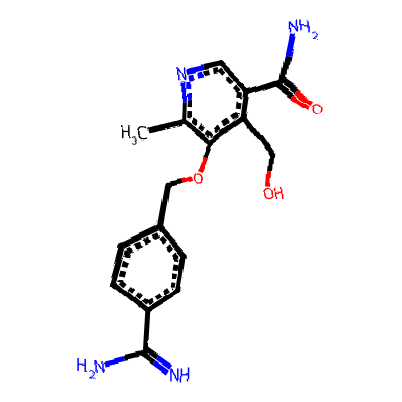 Cc1ncc(C(N)=O)c(CO)c1OCc1ccc(C(=N)N)cc1